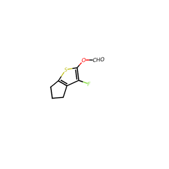 O=COc1sc2c(c1F)CCC2